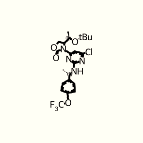 C[C@H](Nc1nc(Cl)cc(N2C(=O)OCC2[C@@H](C)OC(C)(C)C)n1)c1ccc(OC(F)(F)F)cc1